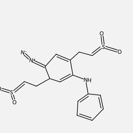 [N-]=[N+]=C1C=C(CC=S(=O)=O)C(Nc2ccccc2)=CC1CC=S(=O)=O